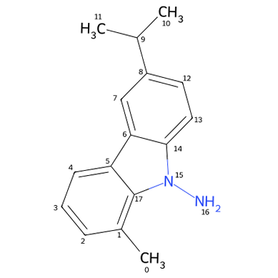 Cc1cccc2c3cc(C(C)C)ccc3n(N)c12